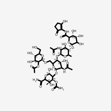 CC(=O)NC1[C@H](O[C@@H]2C(CO[C@@H]3OC(CO)[C@@H](O)[C@H](O)C3OC(C)=O)O[C@@H](OC3[C@@H](OC(N)=O)[C@](C)(O)C(C(N)=O)O[C@@H]3O)C(NC(C)=O)[C@H]2O)OC(C)[C@@H](O[C@@H]2OC(C(=O)NC3=C(O)CCC3=O)[C@H](O)[C@H](O)C2O)[C@@H]1O